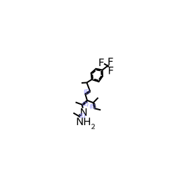 C/C=C(C)/C(/C=C/C(C)c1ccc(C(F)(F)F)cc1)=C(C)\N=C(/C)N